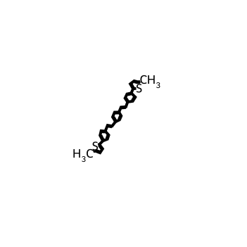 Cc1ccc(-c2ccc(/C=C/c3ccc(/C=C/c4ccc(-c5ccc(C)s5)cc4)cc3)cc2)s1